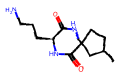 CC1CCC2(C1)NC(=O)[C@H](CCCN)NC2=O